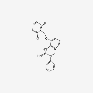 CN(C(=N)Nc1ncccc1OCc1c(F)cccc1Cl)c1ccccc1